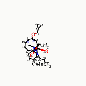 C=C1/C=C(OCC2CC2)\C=C/CCC2(CCC(OC)CC2)C12NC(=O)N(CCC(F)(F)F)C2=O